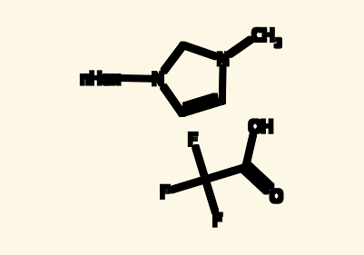 CCCCCCN1C=CN(C)C1.O=C(O)C(F)(F)F